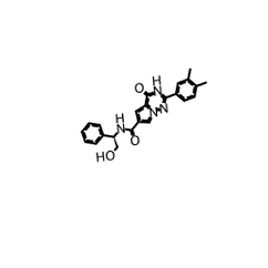 Cc1ccc(-c2nn3cc(C(=O)N[C@@H](CO)c4ccccc4)cc3c(=O)[nH]2)cc1C